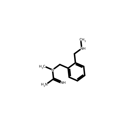 CNCc1ccccc1CN(C)C(=N)N